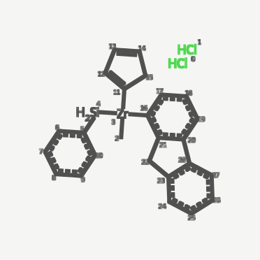 Cl.Cl.[CH3][Zr]([SiH2]c1ccccc1)([C]1=CC=CC1)[c]1cccc2c1Cc1ccccc1-2